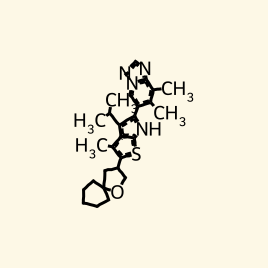 Cc1c(-c2[nH]c3sc(C4COC5(CCCCC5)C4)c(C)c3c2C(C)C)cn2ncnc2c1C